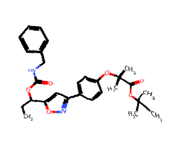 CCC(OC(=O)NCc1ccccc1)c1cc(-c2ccc(OC(C)(C)C(=O)OC(C)(C)C)cc2)no1